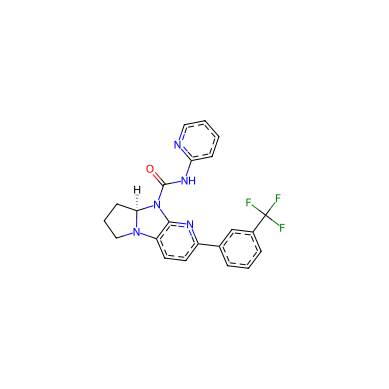 O=C(Nc1ccccn1)N1c2nc(-c3cccc(C(F)(F)F)c3)ccc2N2CCC[C@H]21